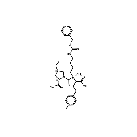 CO[C@@H]1C[C@@H](C(=O)O)N(C(=O)[C@@](N)(CCCCNC(=O)OCc2ccccc2)C(CCc2ccc(Cl)cc2)C(=O)O)C1